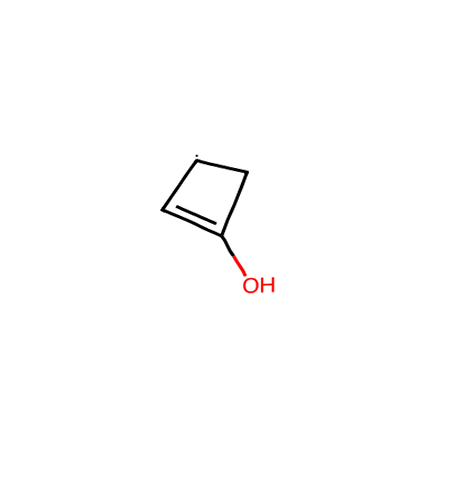 OC1=C[CH]C1